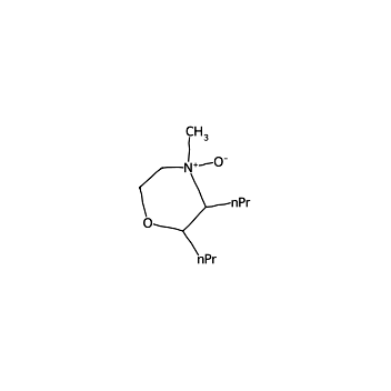 CCCC1OCC[N+](C)([O-])C1CCC